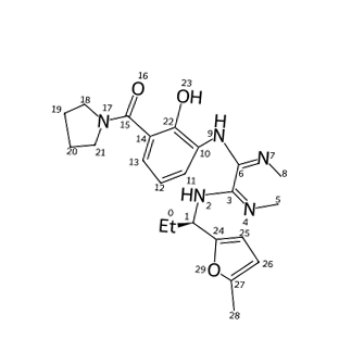 CC[C@@H](NC(=N/C)/C(=N\C)Nc1cccc(C(=O)N2CCCC2)c1O)c1ccc(C)o1